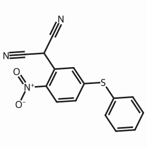 N#CC(C#N)c1cc(Sc2ccccc2)ccc1[N+](=O)[O-]